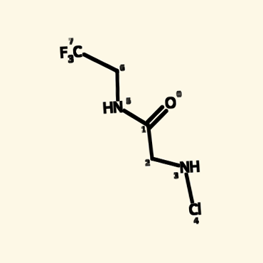 O=C(CNCl)NCC(F)(F)F